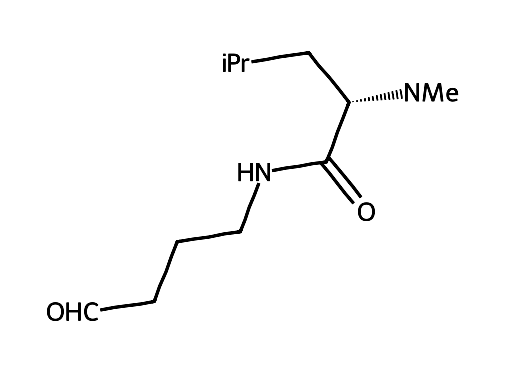 CN[C@@H](CC(C)C)C(=O)NCCCC=O